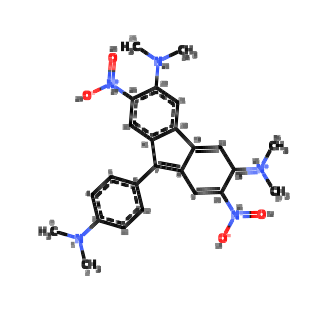 CN(C)c1ccc(C2=C3C=C([N+](=O)[O-])C(=[N+](C)C)C=C3c3cc(N(C)C)c([N+](=O)[O-])cc32)cc1